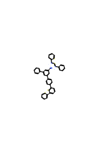 c1ccc(-c2cc(-c3ccc(-c4cccc5c4sc4ccccc45)cc3)cc(-c3nc(-c4ccccc4)c4sc5ccccc5c4n3)c2)cc1